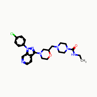 CCNC(=O)N1CCN(CC2CN(c3nn(-c4ccc(Cl)cc4)c4cnccc34)CCO2)CC1